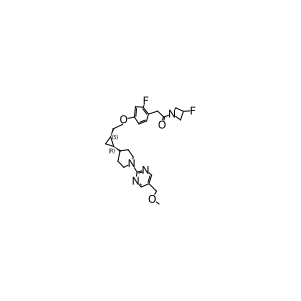 COCc1cnc(N2CCC([C@H]3C[C@H]3CCOc3ccc(CC(=O)N4CC(F)C4)c(F)c3)CC2)nc1